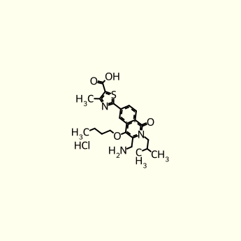 CCCCOc1c(CN)n(CC(C)C)c(=O)c2ccc(-c3nc(C)c(C(=O)O)s3)cc12.Cl